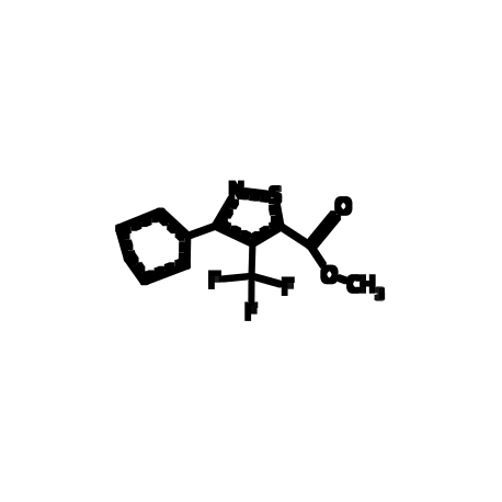 COC(=O)c1snc(-c2ccccc2)c1C(F)(F)F